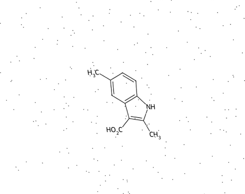 Cc1ccc2[nH]c(C)c(C(=O)O)c2c1